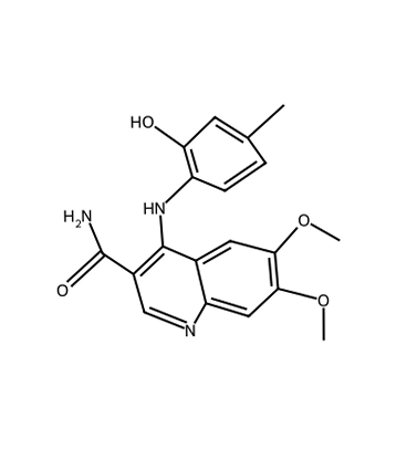 COc1cc2ncc(C(N)=O)c(Nc3ccc(C)cc3O)c2cc1OC